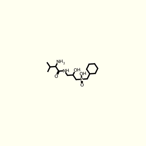 CC(C)C(N)C(=O)NCC(O)CP(=O)(O)CC1CCCCC1